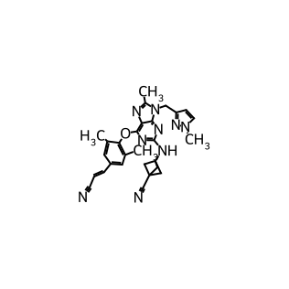 Cc1cc(/C=C/C#N)cc(C)c1Oc1nc(NC23CC(C#N)(C2)C3)nc2c1nc(C)n2Cc1ccn(C)n1